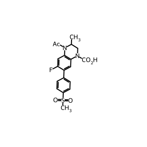 CC(=O)N1c2cc(F)c(-c3ccc(S(C)(=O)=O)cc3)cc2N(C(=O)O)CC1C